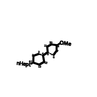 CCCCCCC[C@H]1CC[C@H]([C@H]2CC[C@H](OC)CC2)CC1